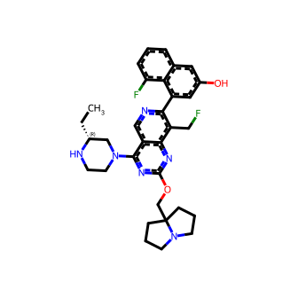 CC[C@@H]1CN(c2nc(OCC34CCCN3CCC4)nc3c(CF)c(-c4cc(O)cc5cccc(F)c45)ncc23)CCN1